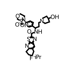 CC(C)[C@]1(F)CCc2nc3sc(C(=O)NC(CCN4CCC(O)CC4)c4ccc(N5CCOCS5(=O)=O)nc4)nc3cc2C1